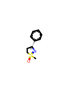 CS1(=O)=N[C@@H](c2ccccc2)CC1